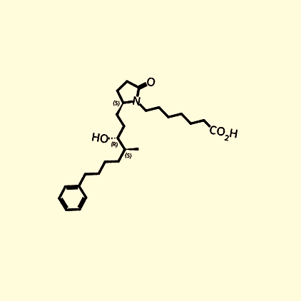 C[C@@H](CCCCc1ccccc1)[C@H](O)CC[C@H]1CCC(=O)N1CCCCCCC(=O)O